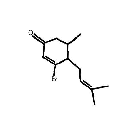 CCC1=CC(=O)CC(C)C1CC=C(C)C